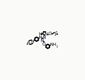 C=C1C=CN(COCC[Si](C)(C)C)/C1=N/C(=N\COc1cccc(N)c1)Nc1ccc(N2CCN(C)CC2)cc1